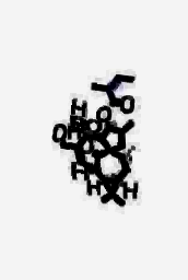 C/C=C(/C)C(=O)O[C@H]1C(C)=CC23C(=O)[C@@H](C=C(CO)[C@@H](O)[C@]12O)[C@H]1[C@@H](C[C@H]3C)C1(C)C